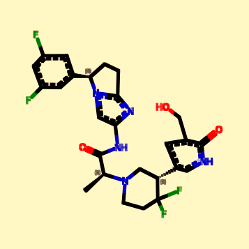 C[C@@H](C(=O)Nc1cn2c(n1)CC[C@@H]2c1cc(F)cc(F)c1)N1CCC(F)(F)[C@@H](c2c[nH]c(=O)c(CO)c2)C1